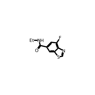 CCNC(=O)c1cc(F)c2ncsc2c1